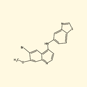 COc1cc2nccc(Nc3ccc4scnc4c3)c2cc1Br